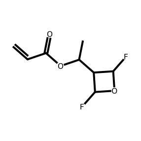 C=CC(=O)OC(C)C1C(F)OC1F